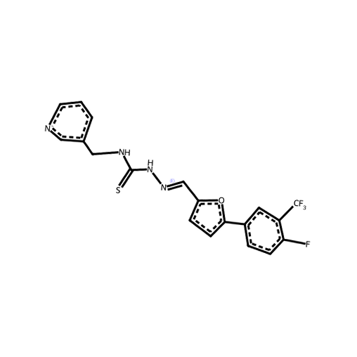 Fc1ccc(-c2ccc(/C=N/NC(=S)NCc3cccnc3)o2)cc1C(F)(F)F